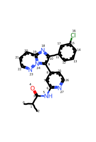 CC(C)C(=O)Nc1cc(-c2c(-c3cccc(Cl)c3)nc3cccnn23)ccn1